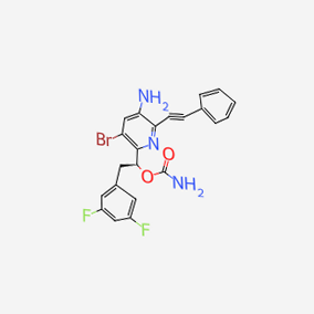 NC(=O)O[C@@H](Cc1cc(F)cc(F)c1)c1nc(C#Cc2ccccc2)c(N)cc1Br